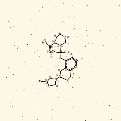 CC(C)(Cc1cc(Cl)cc2c1CN(N1CC[C@@H](F)C1)CC2)[C@@H]1COCCN1C(=O)O